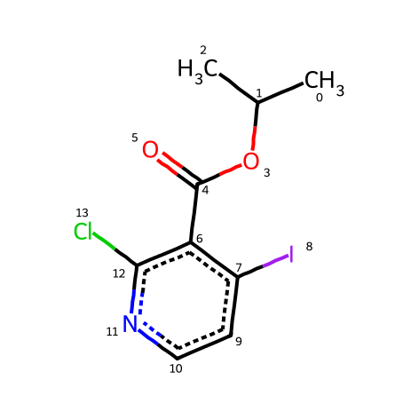 CC(C)OC(=O)c1c(I)ccnc1Cl